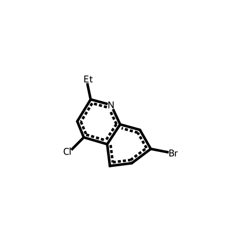 CCc1cc(Cl)c2ccc(Br)cc2n1